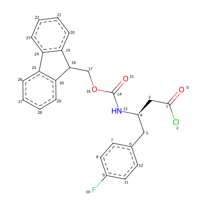 O=C(Cl)C[C@@H](Cc1ccc(F)cc1)NC(=O)OCC1c2ccccc2-c2ccccc21